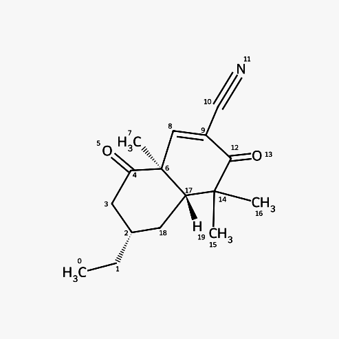 CC[C@@H]1CC(=O)[C@@]2(C)C=C(C#N)C(=O)C(C)(C)[C@@H]2C1